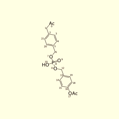 CC(=O)Cc1ccc(COP(=O)(O)OCc2ccc(OC(C)=O)cc2)cc1